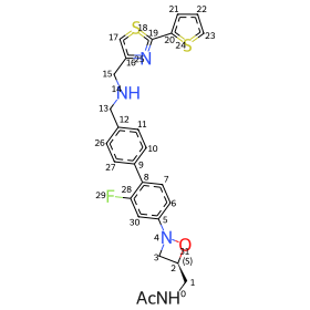 CC(=O)NC[C@H]1CN(c2ccc(-c3ccc(CNCc4csc(-c5cccs5)n4)cc3)c(F)c2)O1